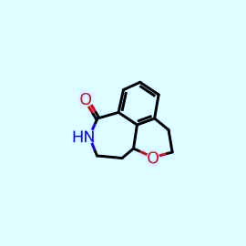 O=C1NCCC2OCCc3cccc1c32